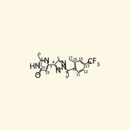 Cc1nc(-c2cnn(C(C)c3ccc(C(F)(F)F)cc3C)n2)cc(=O)[nH]1